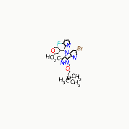 C[Si](C)(C)CCOCn1nc(C(=O)O)c2c1c1ncc(Br)cc1n2[C@H](c1ncccc1F)C1CCOCC1